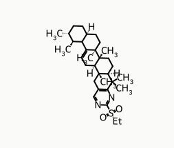 CCS(=O)(=O)c1ncc2c(n1)C(C)(C)[C@@H]1CC[C@]3(C)[C@H](CC=C4C5[C@@H](CC[C@@H](C)[C@@H]5C)CC[C@]43C)[C@@]1(C)C2